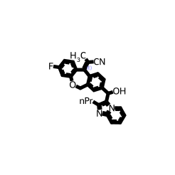 CCCc1nc2ccccn2c1C(O)c1ccc2c(c1)COc1cc(F)ccc1/C2=C(\C)C#N